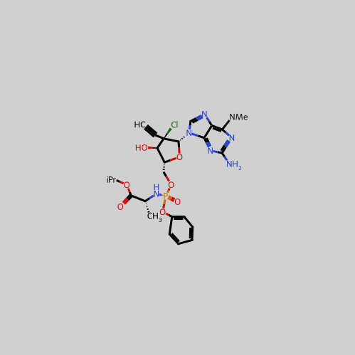 C#C[C@@]1(Cl)[C@H](O)[C@@H](CO[P@@](=O)(N[C@H](C)C(=O)OC(C)C)Oc2ccccc2)O[C@H]1n1cnc2c(NC)nc(N)nc21